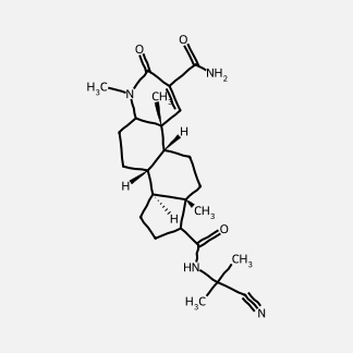 CN1C(=O)C(C(N)=O)=C[C@@]2(C)C1CC[C@@H]1[C@H]2CC[C@]2(C)C(C(=O)NC(C)(C)C#N)CC[C@@H]12